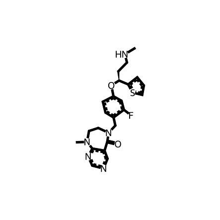 CNCC[C@H](Oc1ccc(CN2CCN(C)c3ncncc3C2=O)c(F)c1)c1cccs1